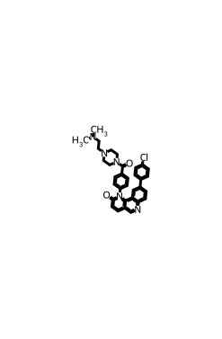 CN(C)CCN1CCN(C(=O)c2ccc(-n3c(=O)ccc4cnc5ccc(-c6ccc(Cl)cc6)cc5c43)cc2)CC1